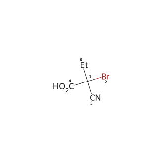 CCC(Br)(C#N)C(=O)O